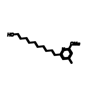 COc1cc(C)cc(CCCCCCCCCCO)n1